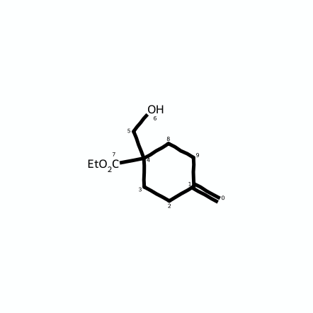 C=C1CCC(CO)(C(=O)OCC)CC1